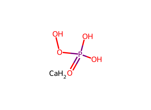 O=P(O)(O)OO.[CaH2]